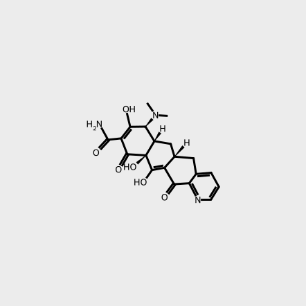 CN(C)[C@@H]1C(O)=C(C(N)=O)C(=O)[C@@]2(O)C(O)=C3C(=O)c4ncccc4C[C@H]3C[C@@H]12